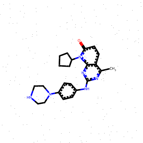 Cc1nc(Nc2ccc(N3CCNCC3)cc2)nc2c1ccc(=O)n2C1CCCC1